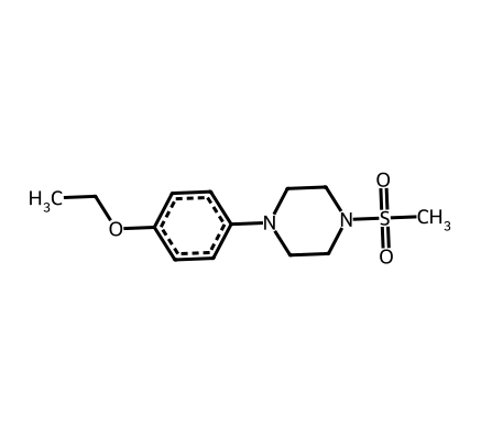 CCOc1ccc(N2CCN(S(C)(=O)=O)CC2)cc1